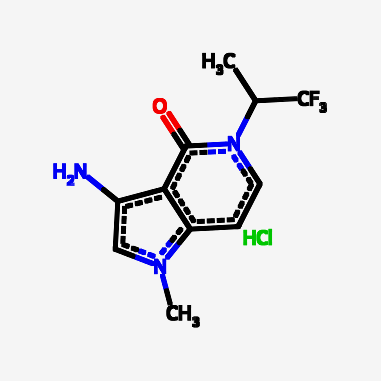 CC(n1ccc2c(c(N)cn2C)c1=O)C(F)(F)F.Cl